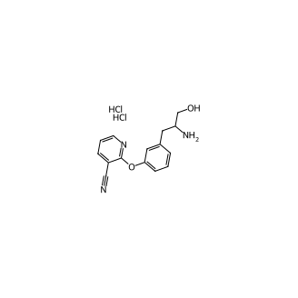 Cl.Cl.N#Cc1cccnc1Oc1cccc(CC(N)CO)c1